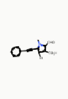 CCc1c(C(=O)O)c(C=O)n(C)c1C#Cc1ccccc1